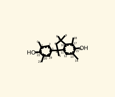 Cc1cc(C2(C)CC(C)(C)c3c2cc(C)c(O)c3C)cc(C)c1O